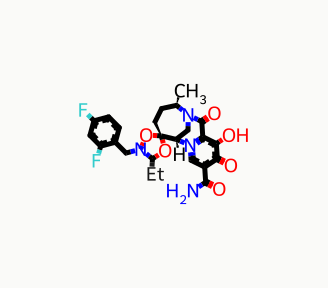 CCC1O[C@]2(CC[C@H](C)N3C[C@H]2n2cc(C(N)=O)c(=O)c(O)c2C3=O)ON1Cc1ccc(F)cc1F